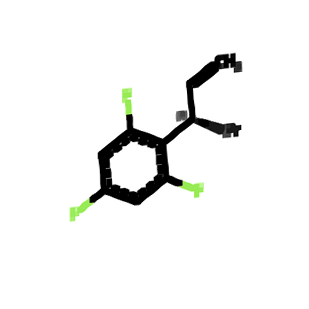 C=C[C@H](c1c(F)cc(F)cc1F)C(C)C